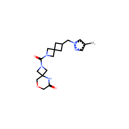 O=C1COCC2(CN(C(=O)N3CC4(CC(Cn5cc(C(F)(F)F)cn5)C4)C3)C2)N1